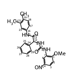 COc1ccc(N=O)cc1NC(=O)NC(C(=O)Nc1ccc(C)c(C)c1)c1ccccc1